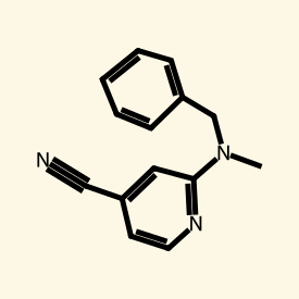 CN(Cc1ccccc1)c1cc(C#N)ccn1